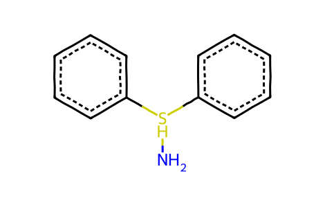 N[SH](c1ccccc1)c1ccccc1